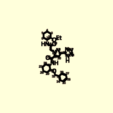 CCO[C@@H]1CCCC[C@H]1NC(=O)Cn1nc(-c2nnn[nH]2)cc1C(=O)N[C@H]1CCCC[C@@H]1OCc1ccccc1